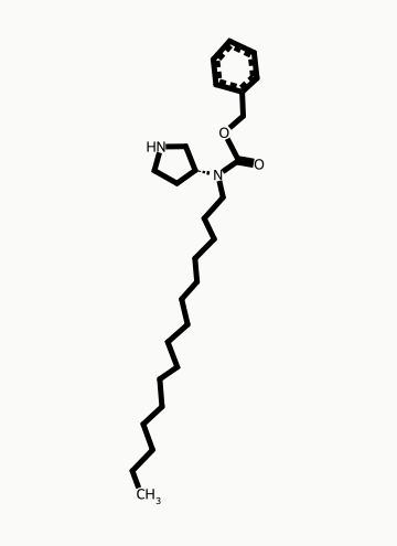 CCCCCCCCCCCCCCCN(C(=O)OCc1ccccc1)[C@@H]1CCNC1